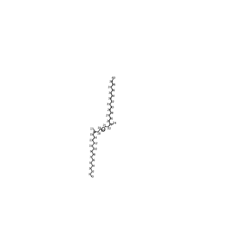 CCCCCCCCCCCCCCCCC(C)CCOCCC(C)CCCCCCCCCCCCCCCC